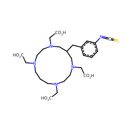 O=C(O)CN1CCCN(CC(=O)O)CCN(CC(=O)O)CC(Cc2cccc(N=C=S)c2)CN(CC(=O)O)CC1